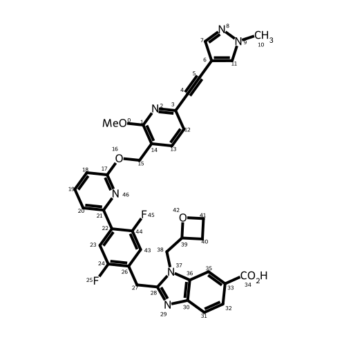 COc1nc(C#Cc2cnn(C)c2)ccc1COc1cccc(-c2cc(F)c(Cc3nc4ccc(C(=O)O)cc4n3CC3CCO3)cc2F)n1